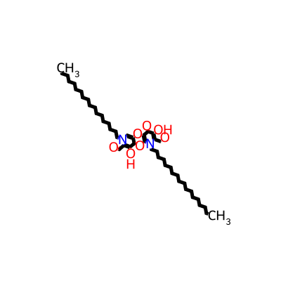 CCCCCCCCCCCCCCCCCCn1cc(Oc2cn(CCCCCCCCCCCCCCCCCC)c(C=O)c(O)c2=O)c(=O)c(O)c1C=O